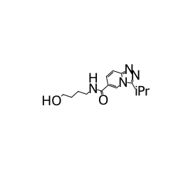 CC(C)c1nnc2ccc(C(=O)NCCCCO)cn12